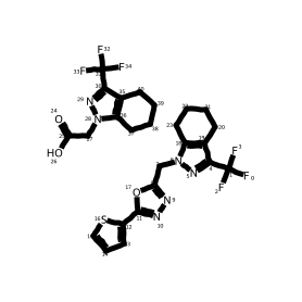 FC(F)(F)c1nn(Cc2nnc(-c3cccs3)o2)c2c1CCCC2.O=C(O)Cn1nc(C(F)(F)F)c2c1CCCC2